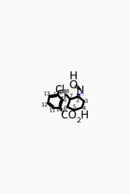 O/N=C1/CCCCC1Cl.O=C(O)c1cccc(Cl)c1